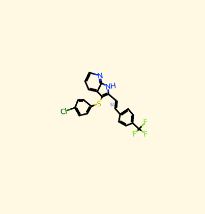 FC(F)(F)c1ccc(/C=C/c2[nH]c3ncccc3c2Sc2ccc(Cl)cc2)cc1